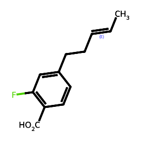 C/C=C/CCc1ccc(C(=O)O)c(F)c1